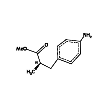 COC(=O)[C@H](C)Cc1ccc(N)cc1